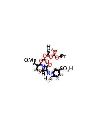 COCC1=C(OC(=O)OC(C)OC(=O)OC(C)C)N2C(=O)[C@@H](N)[C@H]2SC1.Cc1ccc(S(=O)(=O)O)cc1